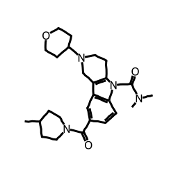 CC1CCN(C(=O)c2ccc3c(c2)c2c(n3C(=O)N(C)C)CCN(C3CCOCC3)C2)CC1